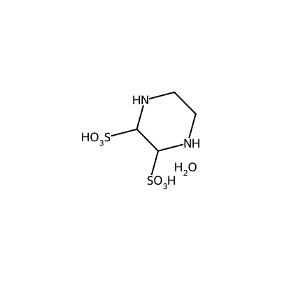 O.O=S(=O)(O)C1NCCNC1S(=O)(=O)O